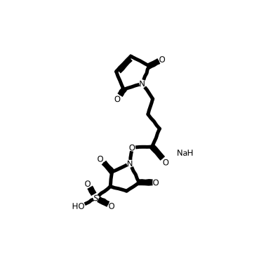 O=C(CCCN1C(=O)C=CC1=O)ON1C(=O)CC(S(=O)(=O)O)C1=O.[NaH]